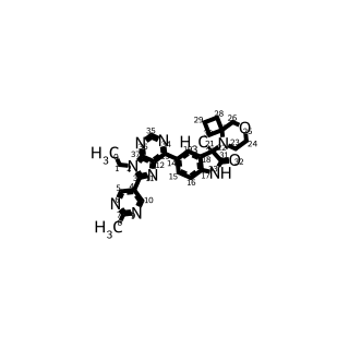 CCn1c(-c2cnc(C)nc2)nc2c(-c3ccc4c(c3)[C@](C)(N3CCOCC35CCC5)C(=O)N4)ncnc21